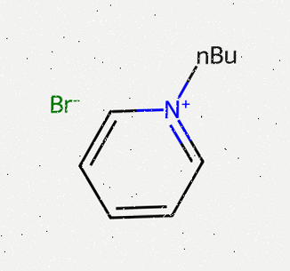 CCCC[n+]1ccccc1.[Br-]